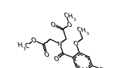 CCOc1cc(Br)ccc1C(=O)N(CC(=O)OC)CC(=O)OC